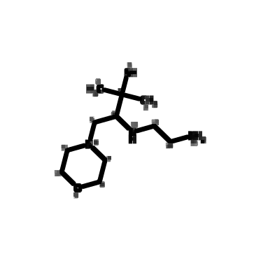 CC(C)(S)C(CN1CCOCC1)NCCN